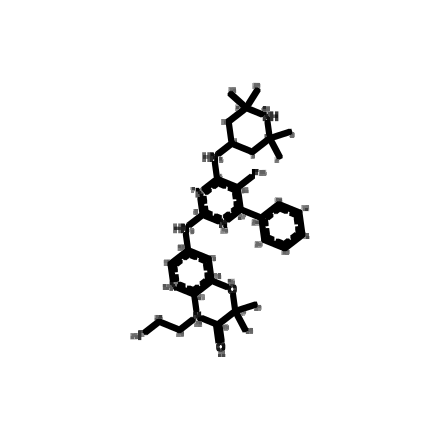 CC1(C)CC(Nc2nc(Nc3cnc4c(c3)OC(C)(C)C(=O)N4CCF)nc(-c3ccccc3)c2F)CC(C)(C)N1